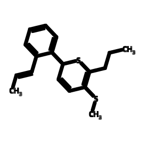 C/C=C/c1ccccc1C1C=CC(SC)=C(CCC)S1